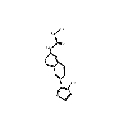 CNC(=O)NC1C=c2ccc(-c3cnccc3C)cc2=CN1